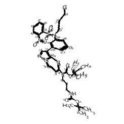 CC(C)(C)OC(=O)NCCCN(C(=O)OC(C)(C)C)c1ccn2ncc(-c3cccc(N(CCCCl)S(=O)(=O)c4ccccc4[N+](=O)[O-])c3)c2n1